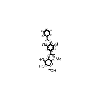 CO[C@H]1O[C@H](CO)[C@@H](O)[C@H](O)[C@H]1OC(=O)c1cc(Cl)c(OCc2ccccc2)c(Cl)c1